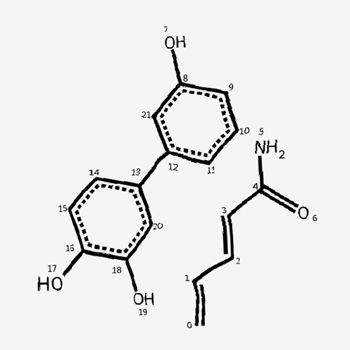 C=CC=CC(N)=O.Oc1cccc(-c2ccc(O)c(O)c2)c1